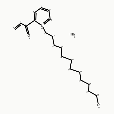 Br.C=CC(=O)c1cccc[n+]1CCCCCCCCCCCC[O-]